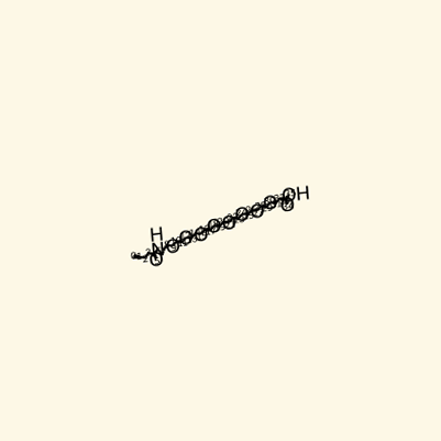 C#CCCC(=O)NCCOCCOCCOCCOCCOCCOCCOCCOCCC(=O)O